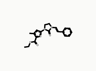 CCOC(=O)c1sc(N2CCN(C=Cc3ccccc3)C2=O)cc1C